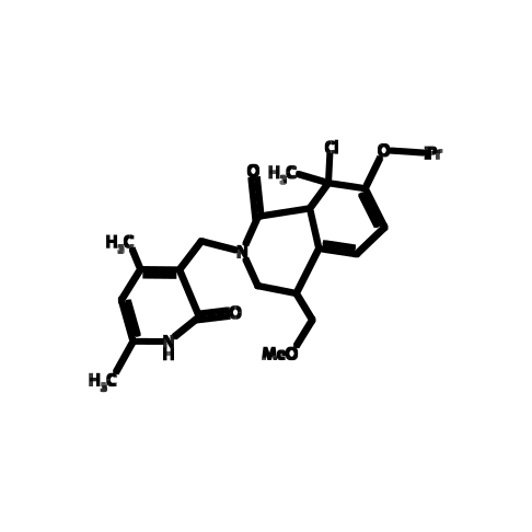 COCC1CN(Cc2c(C)cc(C)[nH]c2=O)C(=O)C2C1=CC=C(OC(C)C)C2(C)Cl